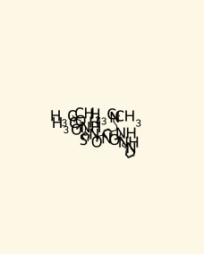 CN(C)CCC(NC(=O)NCc1ccccn1)c1ccc(C(=O)Nc2cscc2NC(=O)OC(C)(C)C)nc1